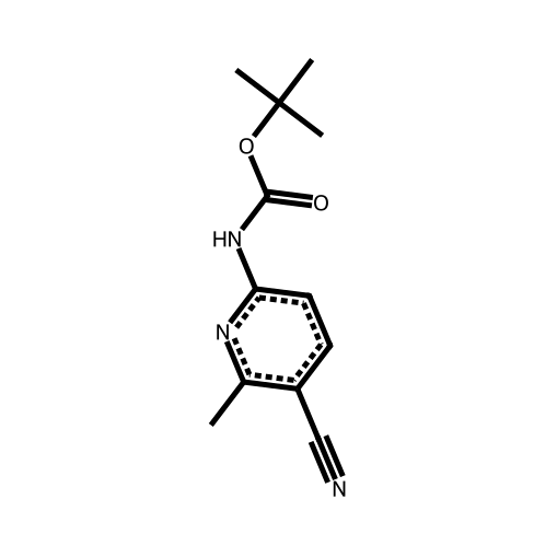 Cc1nc(NC(=O)OC(C)(C)C)ccc1C#N